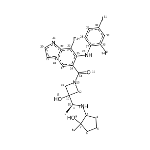 C[C@H](NC1CCCC1(C)O)C1(O)CN(C(=O)c2cn3ccnc3c(F)c2Nc2ccc(I)cc2F)C1